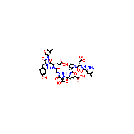 CC(C)C[C@@H](C=O)NC(=O)[C@H](Cc1ccc(O)cc1)NC(=O)[C@H](CCC(=O)O)NC(=O)CNC(=O)[C@@H](NC(=O)[C@H](CCC(=O)O)NC(=O)[C@@H]1CCCN1C(=O)[C@H](CC(=O)O)NC(=O)[C@@H](N)CC(C)C)C(C)O